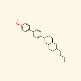 CCCCC1CCC2CC(c3ccc(-c4ccc(OC)cc4)cc3)CCC2C1